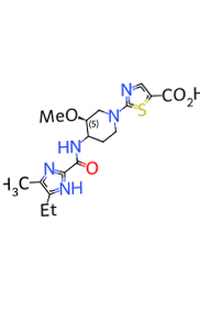 CCc1[nH]c(C(=O)NC2CCN(c3ncc(C(=O)O)s3)C[C@@H]2OC)nc1C